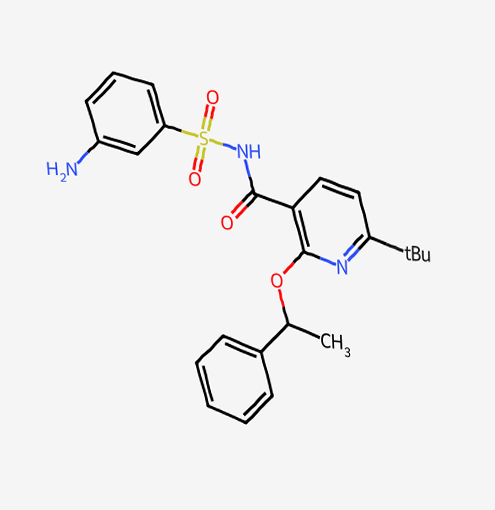 CC(Oc1nc(C(C)(C)C)ccc1C(=O)NS(=O)(=O)c1cccc(N)c1)c1ccccc1